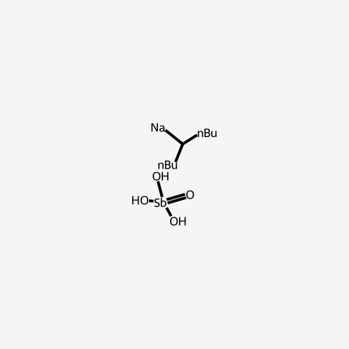 CCCC[CH]([Na])CCCC.[O]=[Sb]([OH])([OH])[OH]